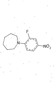 O=[N+]([O-])c1ccc(N2CCCCCC2)c(F)c1